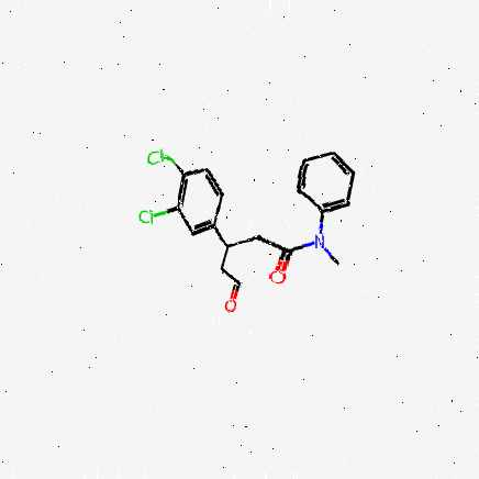 CN(C(=O)CC(CC=O)c1ccc(Cl)c(Cl)c1)c1ccccc1